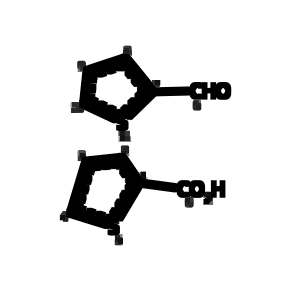 O=C(O)c1cccs1.O=Cc1cccs1